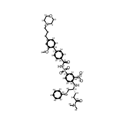 COc1cc(CCCN2CCOCC2)ccc1-c1ccc(C(=O)NS(=O)(=O)c2ccc(N[C@H](CCC(=O)N(C)C)CSc3ccccc3)c([N+](=O)[O-])c2)cc1